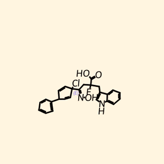 O=C(O)C(F)(C/C(=N\O)C1(Cl)C=CC(c2ccccc2)C=C1)Cc1c[nH]c2ccccc12